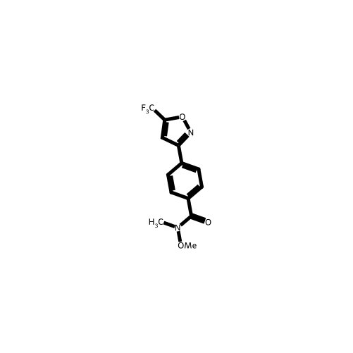 CON(C)C(=O)c1ccc(-c2cc(C(F)(F)F)on2)cc1